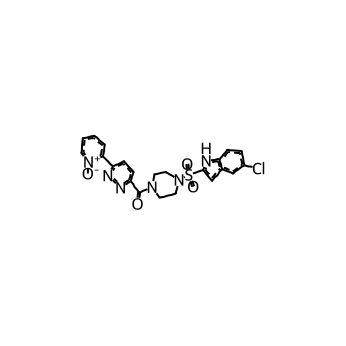 O=C(c1ccc(-c2cccc[n+]2[O-])nn1)N1CCN(S(=O)(=O)c2cc3cc(Cl)ccc3[nH]2)CC1